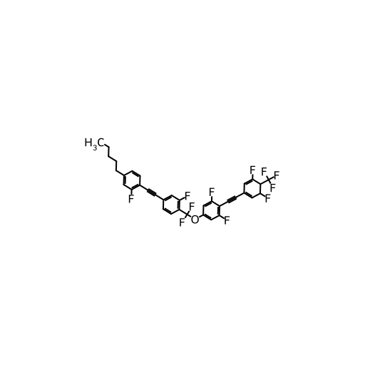 CCCCCc1ccc(C#Cc2ccc(C(F)(F)Oc3cc(F)c(C#CC4=CC(F)C(C(F)(F)F)C(F)=C4)c(F)c3)c(F)c2)c(F)c1